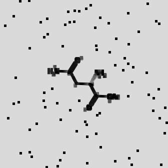 CC(=O)OC(=O)[C@@H](N)CC(N)=O